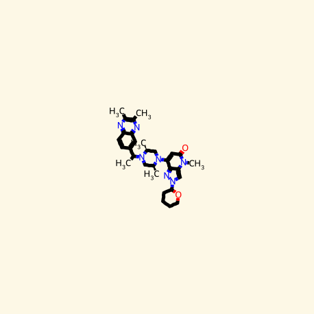 Cc1nc2ccc(C(C)N3C[C@H](C)N(c4cc(=O)n(C)c5cn(C6CCCCO6)nc45)C[C@H]3C)cc2nc1C